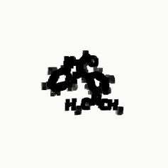 CN(C)c1cc(-c2c(C=O)nc3ccccn23)ccn1